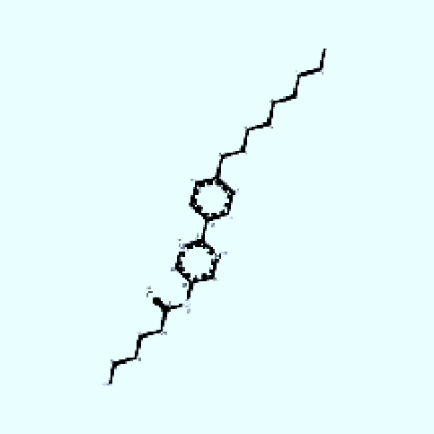 CCCCCCCCCc1ccc(-c2ncc(OC(=O)CCCCC)cn2)cc1